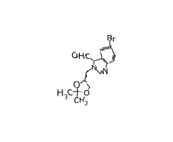 CC1(C)OCC(CN2C=Nc3ccc(Br)cc3C2C=O)O1